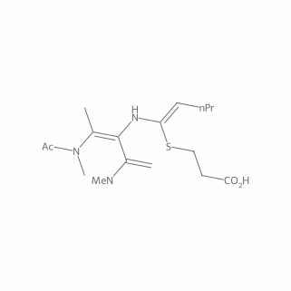 C=C(NC)/C(N/C(=C/CCC)SCCC(=O)O)=C(/C)N(C)C(C)=O